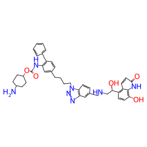 NC1CCC(OC(=O)Nc2cc(CCCCn3nnc4cc(CNC[C@@H](O)c5ccc(O)c6[nH]c(=O)ccc56)ccc43)ccc2-c2ccccc2)CC1